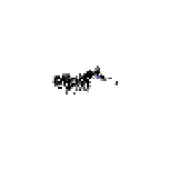 C/C=C/C(=O)N1CCN(c2nc(-c3ccc(NC(=O)c4ccccc4)c(C)c3)c3c(N)nccn23)C1